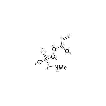 C=CC(=O)OOS(=O)(=O)CNC